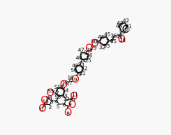 O=C1CC(C2CC3C(=O)OC(=O)C3c3cc(OCCOc4ccc(-c5ccc(OCOc6ccc(/C=C/C(=O)c7ccccc7)cc6)cc5)cc4)ccc32)C(=O)O1